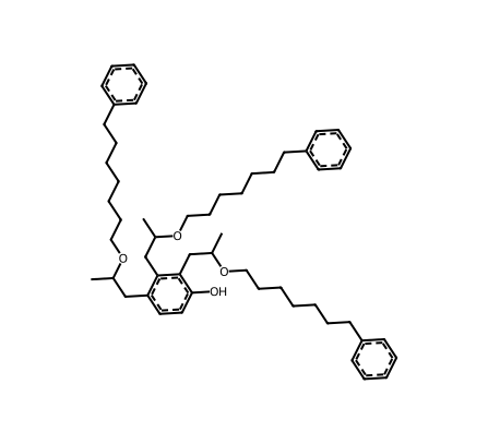 CC(Cc1ccc(O)c(CC(C)OCCCCCCCc2ccccc2)c1CC(C)OCCCCCCCc1ccccc1)OCCCCCCCc1ccccc1